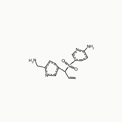 C=CC(c1ccc(CN)nc1)S(=O)(=O)c1ccc(N)nc1